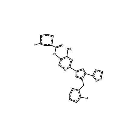 Nc1nc(-c2cc(-c3ccon3)n(Cc3ccccc3F)n2)ncc1NC(=O)c1cccc(F)c1